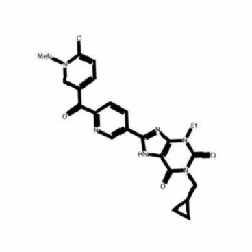 CCn1c(=O)n(CC2CC2)c(=O)c2[nH]c(-c3ccc(C(=O)C4=CC=C(Cl)N(NC)C4)nc3)nc21